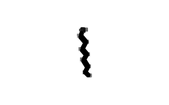 CCC=CC=CC=C[O]